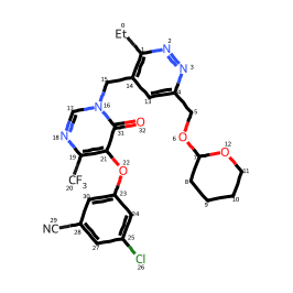 CCc1nnc(COC2CCCCO2)cc1Cn1cnc(C(F)(F)F)c(Oc2cc(Cl)cc(C#N)c2)c1=O